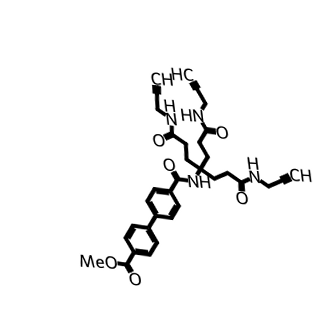 C#CCNC(=O)CCC(CCC(=O)NCC#C)(CCC(=O)NCC#C)NC(=O)c1ccc(-c2ccc(C(=O)OC)cc2)cc1